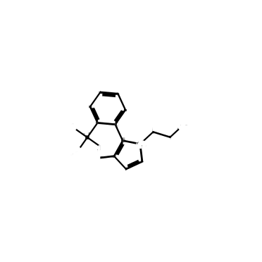 Cc1ccn(CCO)c1-c1ccccc1C(F)(F)F